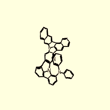 c1ccc(N(c2ccccc2)c2cccc3c4cccc5c6cc7c(nc6n(c23)c54)c2cc3ccccc3c3c4cc5ccccc5cc4n7c23)cc1